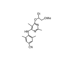 CCC(COC)Oc1nc(C)nc(Nc2c(C)cc(C#N)cc2C)c1C